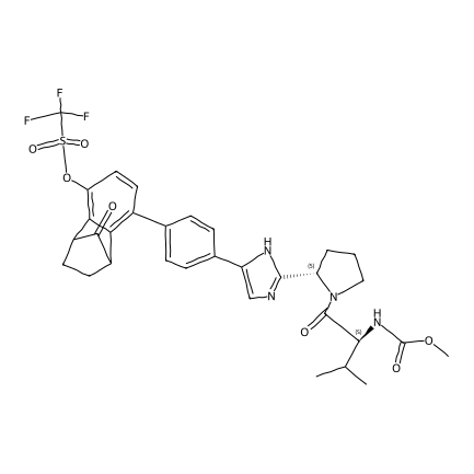 COC(=O)N[C@H](C(=O)N1CCC[C@H]1c1ncc(-c2ccc(-c3ccc(OS(=O)(=O)C(F)(F)F)c4c3C3CCC4C3=O)cc2)[nH]1)C(C)C